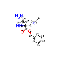 C/C=C/C[C@@]1(C(=O)OCc2ccccc2)C[C@@H](N)CN1